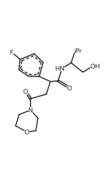 CC(C)C(CO)NC(=O)C(CC(=O)N1CCOCC1)c1ccc(F)cc1